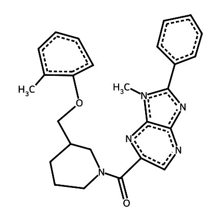 Cc1ccccc1OCC1CCCN(C(=O)c2cnc3nc(-c4ccccc4)n(C)c3n2)C1